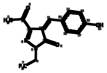 NC(=O)C1=NN(CC(F)(F)F)C(=O)C1=Cc1ccc(O)cc1